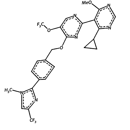 COc1ncnc(C2CC2)c1-c1ncc(OC(F)(F)F)c(OCc2ccc(-c3nc(C(F)(F)F)cn3C)cc2)n1